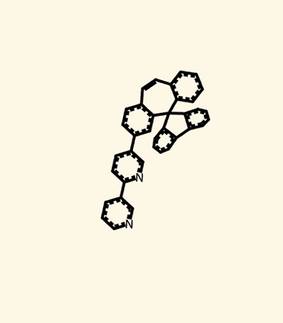 C1=Cc2ccc(-c3ccc(-c4cccnc4)nc3)cc2C2(c3ccccc31)c1ccccc1-c1ccccc12